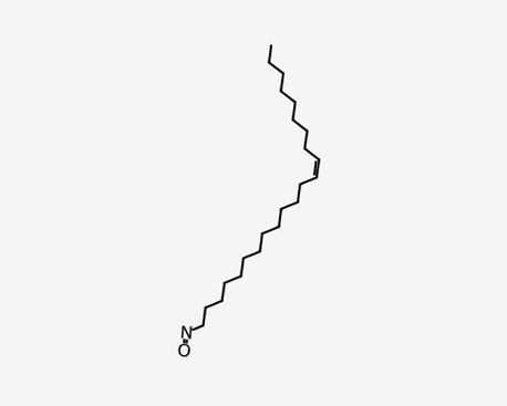 CCCCCCCC/C=C\CCCCCCCCCCCCN=O